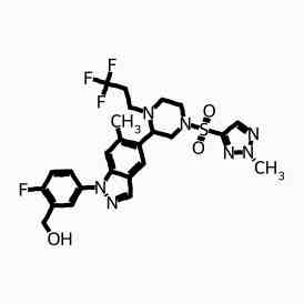 Cc1cc2c(cnn2-c2ccc(F)c(CO)c2)cc1C1CN(S(=O)(=O)c2cnn(C)n2)CCN1CCC(F)(F)F